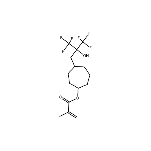 C=C(C)C(=O)OC1CCCC(CC(O)(C(F)(F)F)C(F)(F)F)CC1